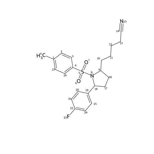 Cc1ccc(S(=O)(=O)N2C(CCCCC#N)CCC2c2ccc(F)cc2)cc1